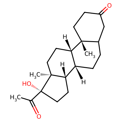 CC(=O)[C@]1(O)CC[C@H]2[C@H]3CCC4CC(=O)CC[C@@]4(C)[C@H]3CC[C@@]21C